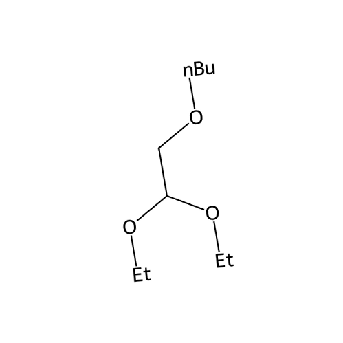 [CH2]CCCOCC(OCC)OCC